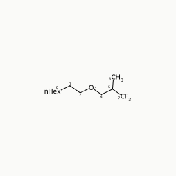 [CH2]CCCCCCCOCC(C)C(F)(F)F